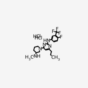 CCCc1cc(N2CCCC(NC)C2)nc(Nc2ccc(F)c(C(F)(F)F)c2)n1.Cl.Cl